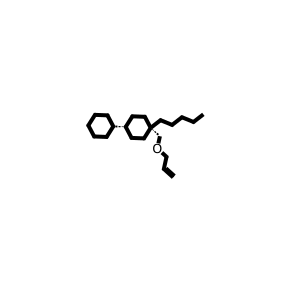 C=CCOC[C@]1(CCCCC)CC[C@H](C2CCCCC2)CC1